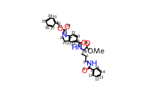 COC(=O)[C@H](CCCNC(=O)c1ccccc1)NC(=O)c1ccc2c(c1)CCN2C(=O)OCc1ccccc1